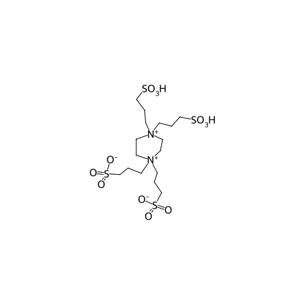 O=S(=O)([O-])CCC[N+]1(CCCS(=O)(=O)[O-])CC[N+](CCCS(=O)(=O)O)(CCCS(=O)(=O)O)CC1